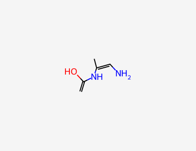 C=C(O)N/C(C)=C\N